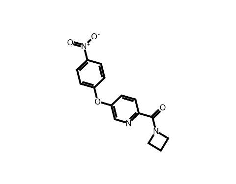 O=C(c1ccc(Oc2ccc([N+](=O)[O-])cc2)cn1)N1CCC1